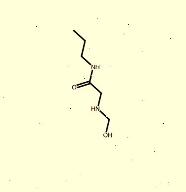 CCCNC(=O)CNCO